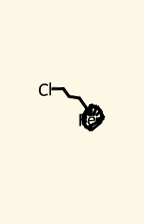 ClCCC[C]12[CH]3[CH]4[CH]5[CH]1[Fe]45321678[CH]2[CH]1[CH]6[CH]7[CH]28